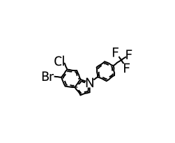 FC(F)(F)c1ccc(-n2ccc3cc(Br)c(Cl)cc32)cc1